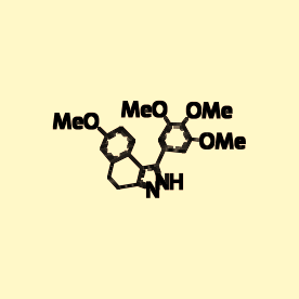 COc1ccc2c(c1)CCc1n[nH]c(-c3cc(OC)c(OC)c(OC)c3)c1-2